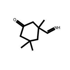 CC1(C)CC(=O)CC(C)(C=N)C1